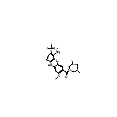 CNc1nc(Nc2cc(OC)c(C(=O)N3CC(C)CCC(C)C3)cc2Cl)ncc1C(F)(F)F